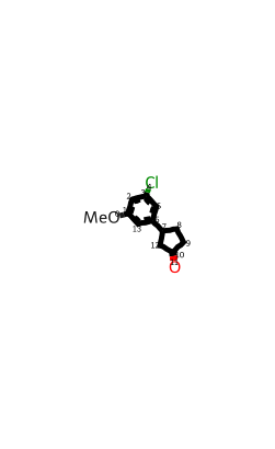 COc1cc(Cl)cc(C2CCC(=O)C2)c1